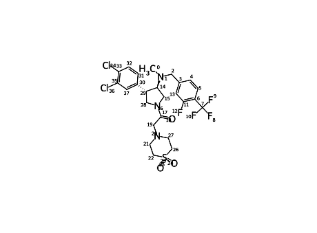 CN(Cc1ccc(C(F)(F)F)c(F)c1)[C@H]1CN(C(=O)CN2CCS(=O)(=O)CC2)C[C@@H]1c1ccc(Cl)c(Cl)c1